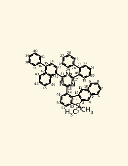 C[Si]1(C)c2cc3ccccc3cc2-c2c(-c3nc(-c4ccccc4-c4ccccc4)nc(-c4ccc(-c5ccccc5)c5ccccc45)n3)cccc21